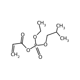 C=CC(=O)OP(=O)(OCC)OCC(C)C